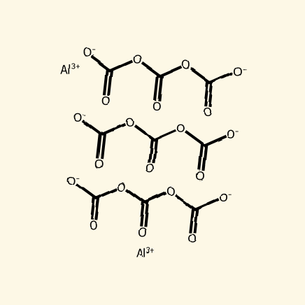 O=C([O-])OC(=O)OC(=O)[O-].O=C([O-])OC(=O)OC(=O)[O-].O=C([O-])OC(=O)OC(=O)[O-].[Al+3].[Al+3]